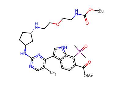 COC(=O)c1ccc2c(-c3nc(N[C@H]4CC[C@H](NCCOCCNC(=O)OC(C)(C)C)C4)ncc3C(F)(F)F)c[nH]c2c1P(C)(C)=O